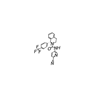 N#Cc1ccc(NC(=O)N2CCc3ccccc3[C@H]2c2ccc(C(F)(F)F)cc2)cn1